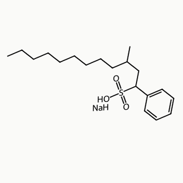 CCCCCCCCCC(C)CC(c1ccccc1)S(=O)(=O)O.[NaH]